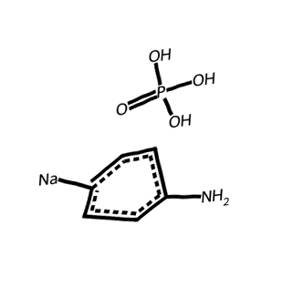 Nc1cc[c]([Na])cc1.O=P(O)(O)O